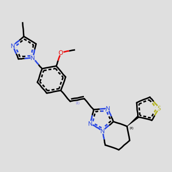 COc1cc(/C=C/c2nc3n(n2)CCC[C@@H]3c2ccsc2)ccc1-n1cnc(C)c1